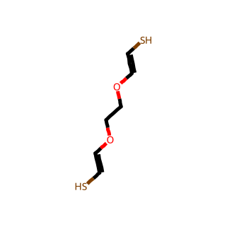 SC=COCCOC=CS